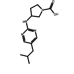 CC(C)Cc1cnc(NC2CCN(C(=O)O)C2)nc1